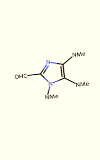 CNc1nc(C=O)n(NC)c1NC